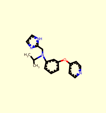 CC(C)N(Cc1ncc[nH]1)c1cccc(Oc2ccncc2)c1